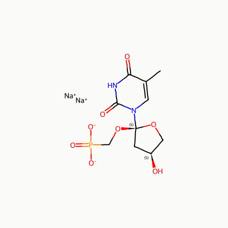 Cc1cn([C@@]2(OCP(=O)([O-])[O-])C[C@H](O)CO2)c(=O)[nH]c1=O.[Na+].[Na+]